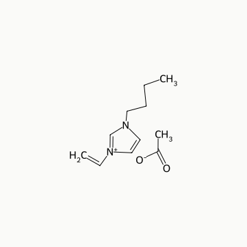 C=C[n+]1ccn(CCCC)c1.CC(=O)[O-]